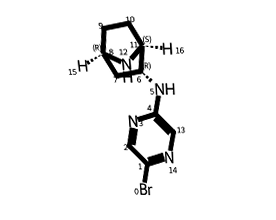 Brc1cnc(N[C@@H]2C[C@H]3CC[C@@H]2N3)cn1